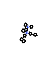 c1ccc(-c2ccc(N(c3ccc(-c4cccc5ccccc45)cc3)c3cc4c(c5ccccc35)c3ccccc3n4-c3ccccc3)cc2)cc1